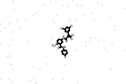 Cc1ccc(NC(=O)C2C(c3cc(Cl)cc(Cl)c3)C2(Cl)Cl)cc1C(=O)Nc1ccc(F)cc1